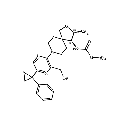 C[C@@H]1OCC2(CCN(c3ncc(C4(c5ccccc5)CC4)nc3CO)CC2)[C@@H]1NC(=O)OC(C)(C)C